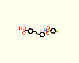 O=C(O)c1ccc(CCc2cccc(NS(=O)(=O)c3ccc(F)cc3)c2)cc1